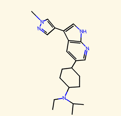 CCN(C(C)C)C1CCC(c2cnc3[nH]cc(-c4cnn(C)c4)c3c2)CC1